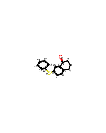 O=C1CCCc2ccc(Sc3ccccc3)cc21